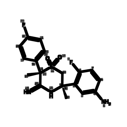 C[C@@]1(c2cc(N)ccc2F)CS(=O)(=O)[C@@](C)(c2ccc(F)cc2)C(=N)N1